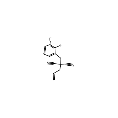 C=CCC(C#N)(C#N)Cc1cccc(F)c1F